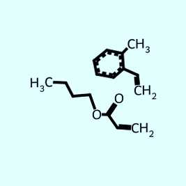 C=CC(=O)OCCCC.C=Cc1ccccc1C